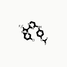 FC(F)Oc1ccc(Nc2ccnc(-c3c(C(F)(F)F)nc4ccc(Cl)cn34)n2)cc1